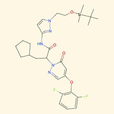 CC(C)(C)[Si](C)(C)OCCn1ccc(NC(=O)C(CC2CCCC2)n2ncc(Oc3c(F)cccc3F)cc2=O)n1